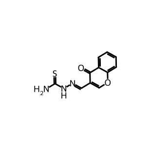 NC(=S)NN=Cc1coc2ccccc2c1=O